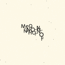 COc1cc(C2=NCC(C)(c3ccc(F)cc3)N2CC(C)O)ccc1N1C=NC(C)C1